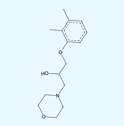 Cc1cccc(OCC(O)CN2CCOCC2)c1C